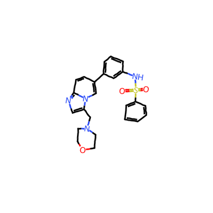 O=S(=O)(Nc1cccc(-c2ccc3ncc(CN4CCOCC4)n3c2)c1)c1ccccc1